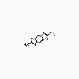 Cc1nc2nc3oc(C)nc3cc2o1